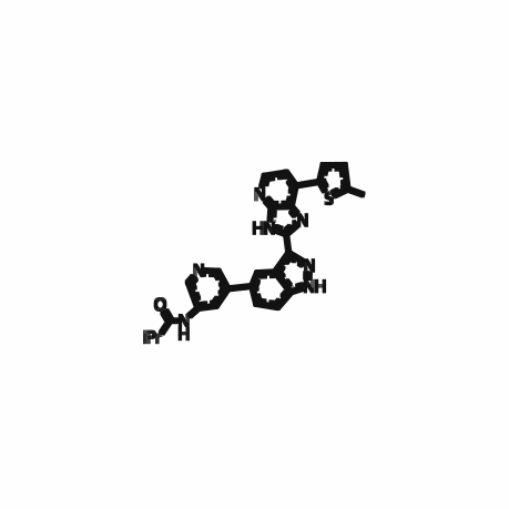 Cc1ccc(-c2ccnc3[nH]c(-c4n[nH]c5ccc(-c6cncc(NC(=O)C(C)C)c6)cc45)nc23)s1